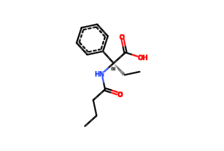 CCCC(=O)N[C@](CC)(C(=O)O)c1ccccc1